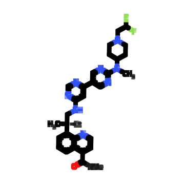 CC[C@](C)(CNc1cc(-c2cnc(N(C)C3CCN(CC(F)F)CC3)nc2)ncn1)c1cccc2c(C(=O)NC)ccnc12